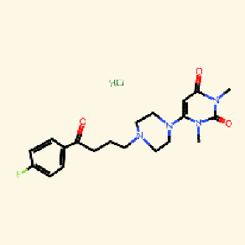 Cl.Cn1c(N2CCN(CCCC(=O)c3ccc(F)cc3)CC2)cc(=O)n(C)c1=O